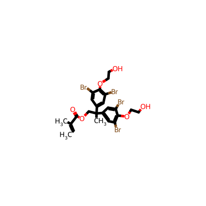 CC=C(C)C(=O)OCC(C)(c1cc(Br)c(OCCO)c(Br)c1)c1cc(Br)c(OCCO)c(Br)c1